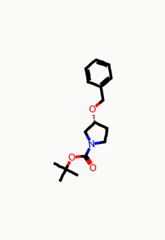 CC(C)(C)OC(=O)N1CC[C@@H](OCc2ccccc2)C1